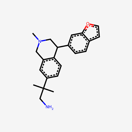 CN1Cc2cc(C(C)(C)CN)ccc2C(c2ccc3ccoc3c2)C1